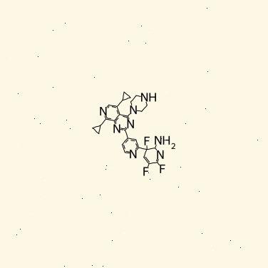 NC1N=C(F)C(F)=CC1(F)c1cc(-c2nc(N3CCNCC3)c3c(C4CC4)cnc(C4CC4)c3n2)ccn1